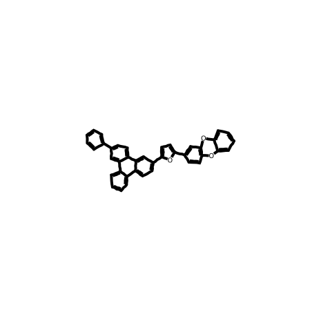 c1ccc(-c2ccc3c(c2)c2ccccc2c2ccc(-c4ccc(-c5ccc6c(c5)Oc5ccccc5O6)o4)cc23)cc1